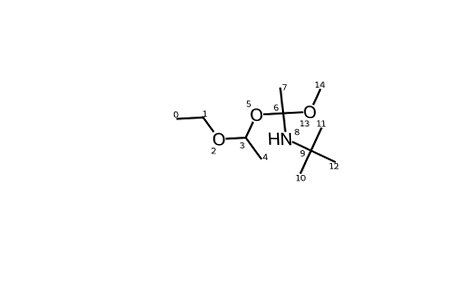 CCOC(C)OC(C)(NC(C)(C)C)OC